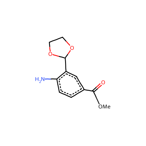 COC(=O)c1ccc(N)c(C2OCCO2)c1